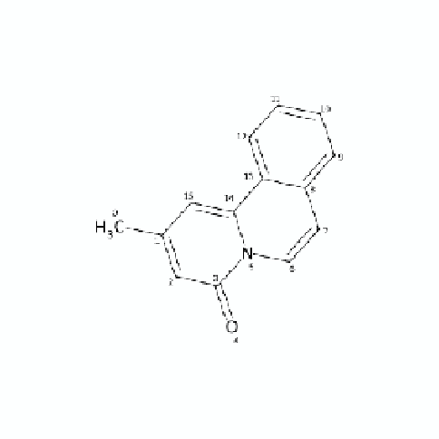 Cc1cc(=O)n2ccc3ccccc3c2c1